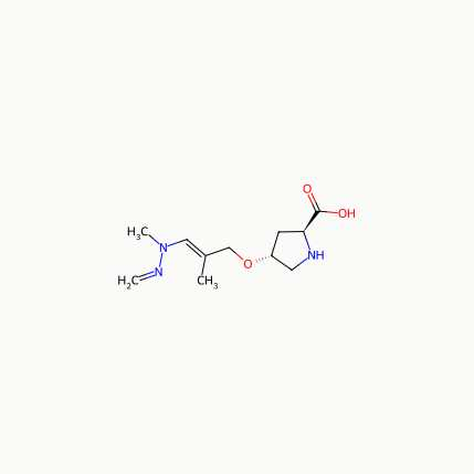 C=NN(C)/C=C(\C)CO[C@H]1CN[C@H](C(=O)O)C1